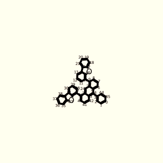 c1ccc(-c2c3cccc(-c4cccc5c4oc4ccccc45)c3cc3c(-c4cccc5c4oc4ccccc45)cccc23)cc1